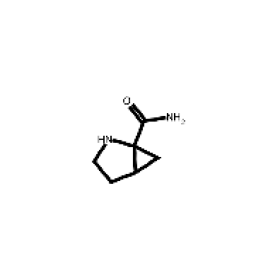 NC(=O)C12CC1CCN2